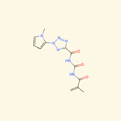 C=C(C)C(=O)NC(=O)NC(=O)c1nnn(-c2cccn2C)n1